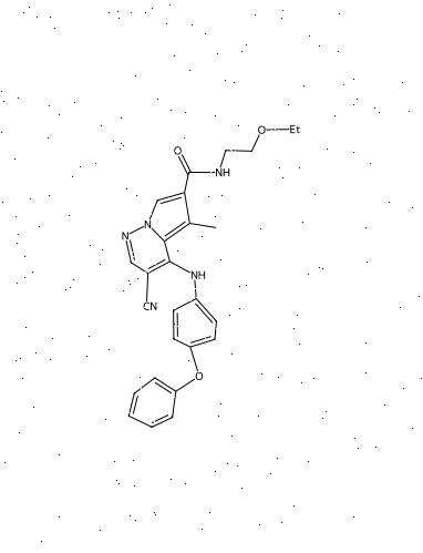 CCOCCNC(=O)c1cn2ncc(C#N)c(Nc3ccc(Oc4ccccc4)cc3)c2c1C